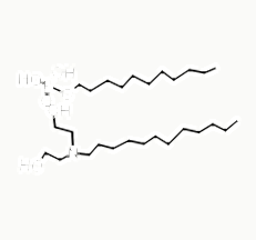 CCCCCCCCCCCCN(CCO)CCO.CCCCCCCCCCCOP(=O)(O)O